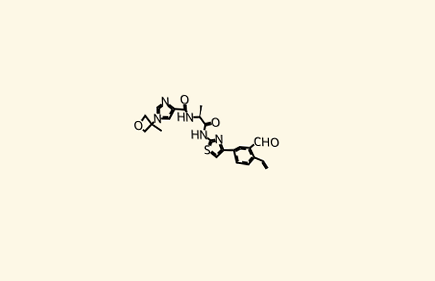 C=Cc1ccc(-c2csc(NC(=O)[C@H](C)NC(=O)c3cn(C4(C)COC4)cn3)n2)cc1C=O